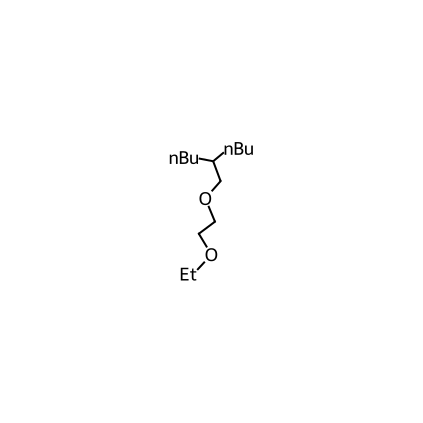 CCCCC(CCCC)COCCOCC